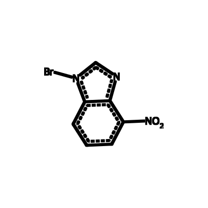 O=[N+]([O-])c1cccc2c1ncn2Br